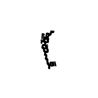 C=CCOc1ccc(-c2ccc3cc(/C=C/CCCC(C)O)ccc3n2)c(F)c1F